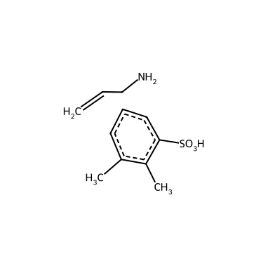 C=CCN.Cc1cccc(S(=O)(=O)O)c1C